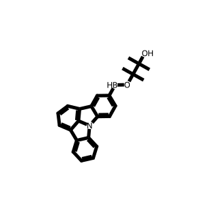 CC(C)(O)C(C)(C)OBc1ccc2c(c1)c1cccc3c4ccccc4n2c31